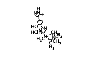 CN(c1cnc(-c2ccc(-c3cn[nH]c3F)cc2O)nn1)C1CC(C)(C)NC(C)(C)C1.Cl